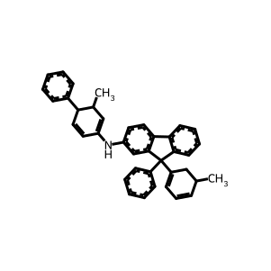 CC1C=CC=C(C2(c3ccccc3)c3ccccc3-c3ccc(NC4=CC(C)C(c5ccccc5)C=C4)cc32)C1